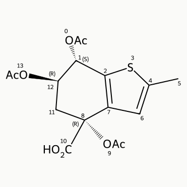 CC(=O)O[C@@H]1c2sc(C)cc2[C@@](OC(C)=O)(C(=O)O)C[C@H]1OC(C)=O